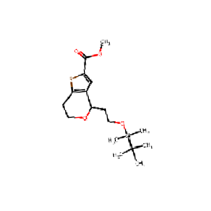 COC(=O)c1cc2c(s1)CCOC2CCO[Si](C)(C)C(C)(C)C